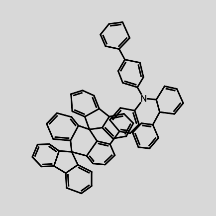 C1=CC(c2ccccc2)C(N(c2ccc(-c3ccccc3)cc2)c2ccc(-c3cccc4c3C3(c5ccccc5-c5ccccc53)c3ccccc3C43c4ccccc4-c4ccccc43)cc2)C=C1